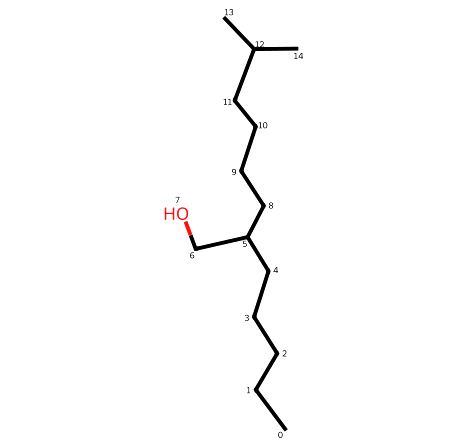 CCCCCC(CO)CCCCC(C)C